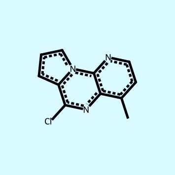 Cc1ccnc2c1nc(Cl)c1cccn12